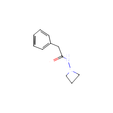 O=C(Cc1[c]cccc1)NN1CCC1